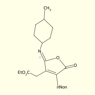 CCCCCCCCCC1=C(CC(=O)OCC)/C(=N/C2CCC(C)CC2)OC1=O